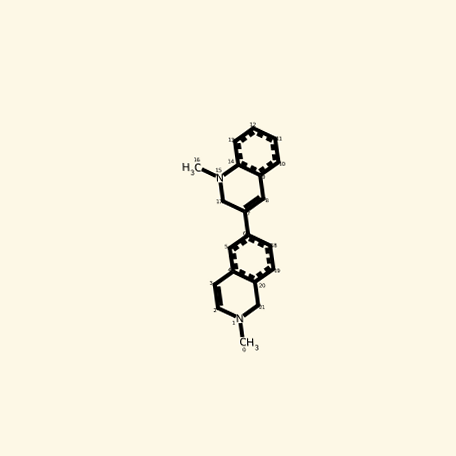 CN1C=Cc2cc(C3=Cc4ccccc4N(C)C3)ccc2C1